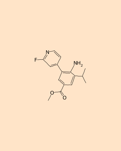 COC(=O)c1cc(-c2ccnc(F)c2)c(N)c(C(C)C)c1